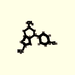 Cc1cc2c(s1)CN(C)CC2c1ccc(Cl)cc1